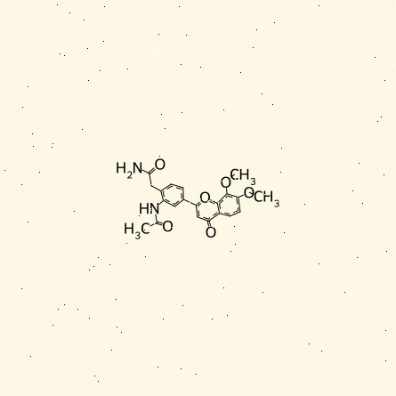 COc1ccc2c(=O)cc(-c3ccc(CC(N)=O)c(NC(C)=O)c3)oc2c1OC